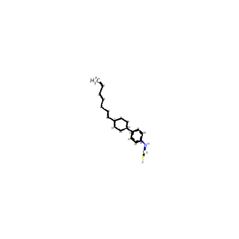 CCCCCCCC1CCC(c2ccc(N=C=S)cc2)CC1